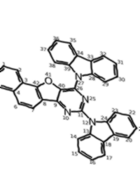 c1ccc2c(c1)ccc1c3nc(-n4c5ccccc5c5ccccc54)nc(-n4c5ccccc5c5ccccc54)c3oc21